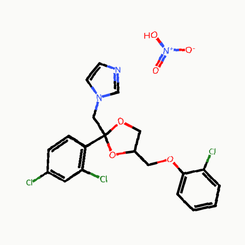 Clc1ccc(C2(Cn3ccnc3)OCC(COc3ccccc3Cl)O2)c(Cl)c1.O=[N+]([O-])O